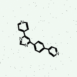 c1cc(-c2ccc(-c3cc(-c4ccncc4)ncn3)cc2)ccn1